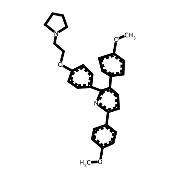 COc1ccc(-c2ccc(-c3ccc(OC)cc3)c(-c3ccc(OCCN4CCCC4)cc3)n2)cc1